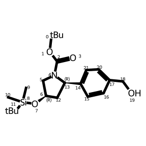 CC(C)(C)OC(=O)N1C[C@H](O[Si](C)(C)C(C)(C)C)C[C@@H]1c1ccc(CO)cc1